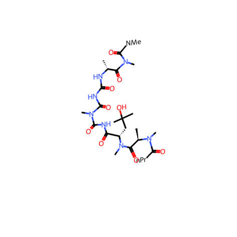 CCCC(=O)N(C)[C@H](C)C(=O)N(C)[C@@H](CC(C)(C)O)C(=O)NC(=O)N(C)C(=O)NC(=O)N[C@H](C)C(=O)N(C)C(=O)NC